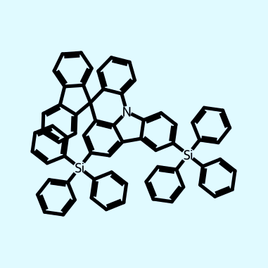 c1ccc([Si](c2ccccc2)(c2ccccc2)c2ccc3c(c2)c2cc([Si](c4ccccc4)(c4ccccc4)c4ccccc4)cc4c2n3-c2ccccc2C42c3ccccc3-c3ccccc32)cc1